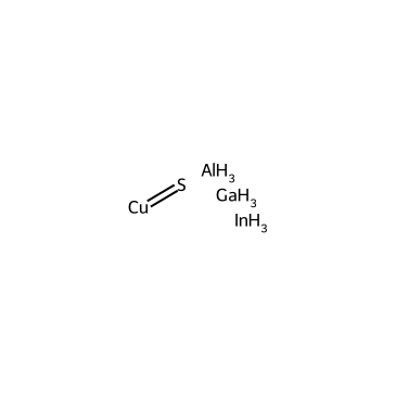 [AlH3].[GaH3].[InH3].[S]=[Cu]